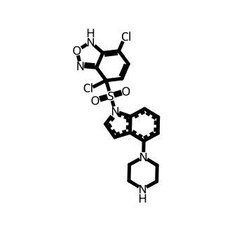 O=S(=O)(n1ccc2c(N3CCNCC3)cccc21)C1(Cl)C=CC(Cl)=C2NON=C21